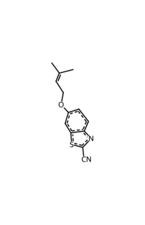 CC(C)=CCOc1ccc2nc(C#N)sc2c1